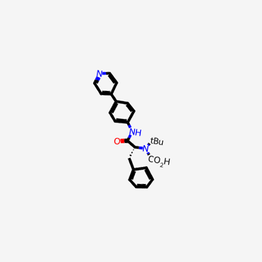 CC(C)(C)N(C(=O)O)[C@H](Cc1ccccc1)C(=O)Nc1ccc(-c2ccncc2)cc1